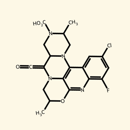 CC1CN2C(=C=O)C3CN(C(=O)O)C(C)CN3c3c2c(nc2c(F)cc(Cl)cc32)O1